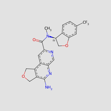 CN(C(=O)c1cc2c3c(c(N)nc2cn1)COC3)[C@@H]1COc2cc(C(F)(F)F)ccc21